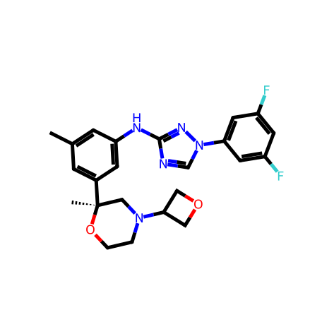 Cc1cc(Nc2ncn(-c3cc(F)cc(F)c3)n2)cc([C@@]2(C)CN(C3COC3)CCO2)c1